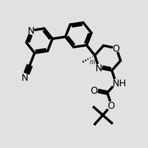 CC(C)(C)OC(=O)NC1=N[C@@](C)(c2cccc(-c3cncc(C#N)c3)c2)COC1